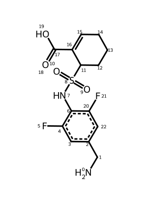 NCc1cc(F)c(NS(=O)(=O)C2CCCC=C2C(=O)O)c(F)c1